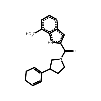 O=C(O)c1ccnc2cc(C(=O)N3CCC(C4=CCCC=C4)C3)[nH]c12